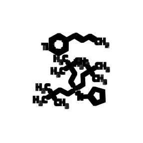 C=CC=Cc1ccccc1.CC(C)(C)CCP(CCC(C)(C)C)(CCC(C)(C)C)=NC1=CC=CC1.[Ti]